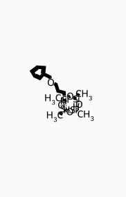 C[SiH]1O[SiH](C)O[Si](C)(CCCOCc2ccccc2)O[SiH](C)O1